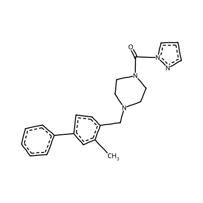 Cc1cc(-c2ccccc2)ccc1CN1CCN(C(=O)n2cccn2)CC1